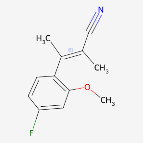 COc1cc(F)ccc1/C(C)=C(\C)C#N